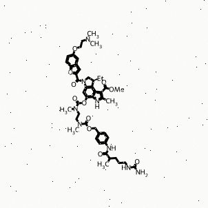 CC[C@@H]1CN(C(=O)c2cc3cc(OCCN(C)C)ccc3o2)c2cc(OC(=O)N(C)CCN(C)C(=O)OCc3ccc(NC(=O)C(C)CCCNC(N)=O)cc3)c3[nH]c(C)c(C(=O)OC)c3c21